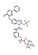 CC(CC(F)(F)F)C(C(=O)Nc1cccc(CC2(C(=O)OC(C)(C)C)CC2)c1)c1ccc(Cn2nc(-c3ccccc3)ccc2=O)cc1